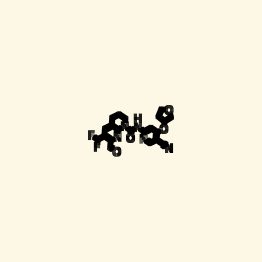 N#Cc1cnc(NC(=O)N2CCCc3cc(C(F)F)c(C=O)nc32)cc1OC1CCOC1